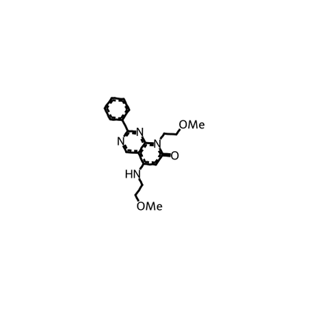 COCCNc1cc(=O)n(CCOC)c2nc(-c3ccccc3)ncc12